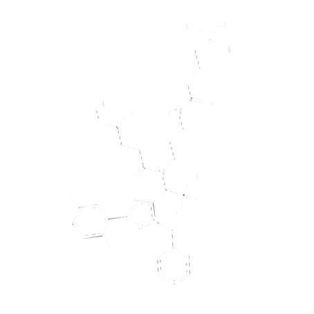 COC(=O)CCC(=O)N(CCCNC(=O)OCC[Si](C)(C)C)C(c1cc(-c2cc(F)ccc2F)cn1Cc1ccccc1)C(C)(C)C